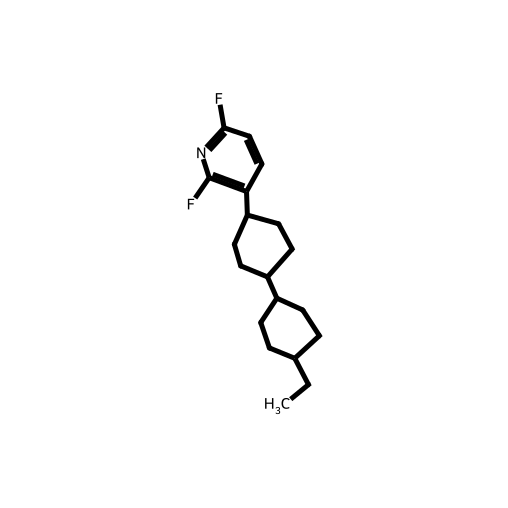 CCC1CCC(C2CCC(c3ccc(F)nc3F)CC2)CC1